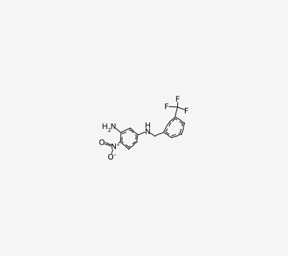 Nc1cc(NCc2cccc(C(F)(F)F)c2)ccc1[N+](=O)[O-]